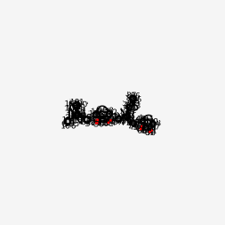 c1ccc(-c2nc(-c3cccc(-c4ccc5c(c4)C4(c6ccccc6O5)c5ccccc5-c5ccc(-c6ccc(-c7nc(-c8cccc(-c9ccc%10c(c9)C9(c%11ccccc%11O%10)c%10ccccc%10-c%10ccccc%109)c8)nc(-c8ccc9c(c8)sc8ccccc89)n7)cc6)cc54)c3)nc(-c3ccccn3)n2)cc1